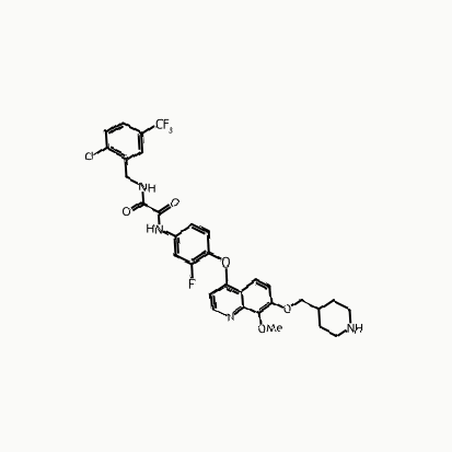 COc1c(OCC2CCNCC2)ccc2c(Oc3ccc(NC(=O)C(=O)NCc4cc(C(F)(F)F)ccc4Cl)cc3F)ccnc12